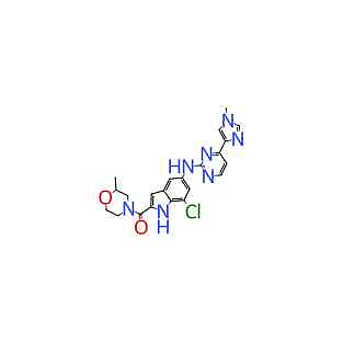 CC1CN(C(=O)c2cc3cc(Nc4nccc(-c5cn(C)cn5)n4)cc(Cl)c3[nH]2)CCO1